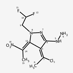 C/C(Cl)=c1/c(NN)nn(CC(F)F)/c1=C(/C)[N+](=O)[O-]